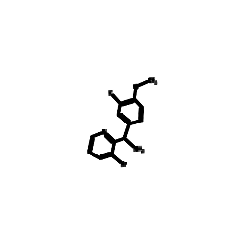 NC(c1ccc(OC(F)(F)F)c(F)c1)c1ncccc1Br